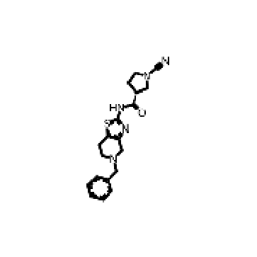 N#CN1CC[C@H](C(=O)Nc2nc3c(s2)CCN(Cc2ccccc2)C3)C1